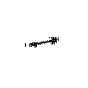 Cc1nc2nc(Cl)nc(Cl)c2n1CCCCCCCCCCCCCCCC(=O)OCCO